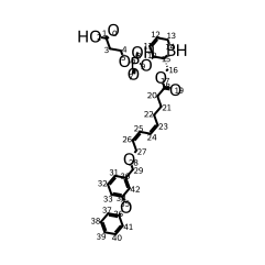 O=C(O)CCOP(=O)(O)OC1C=CCB[C@@H]1COC(=O)CCC/C=C\C=C/COCc1cccc(Oc2ccccc2)c1